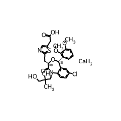 COc1cccc([C@H]2O[C@H](Cc3ncc(CC(=O)O)s3)C(=O)N(CC(C)(C)CO)c3ccc(Cl)cc32)c1OC.[CaH2]